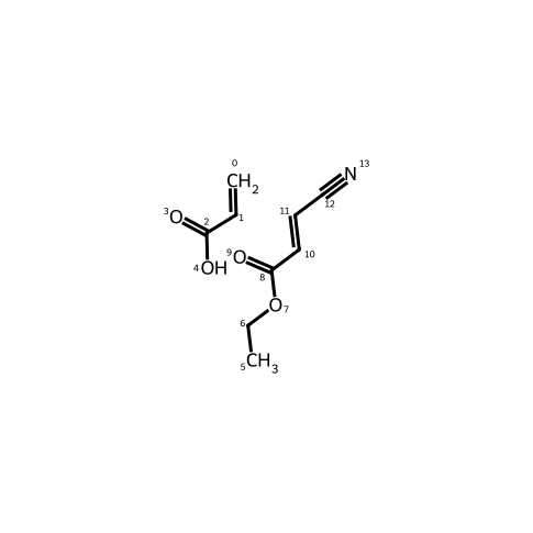 C=CC(=O)O.CCOC(=O)C=CC#N